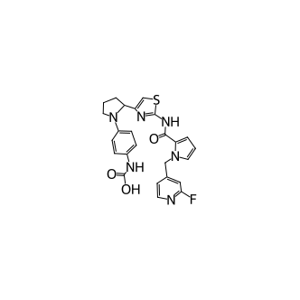 O=C(O)Nc1ccc(N2CCCC2c2csc(NC(=O)c3cccn3Cc3ccnc(F)c3)n2)cc1